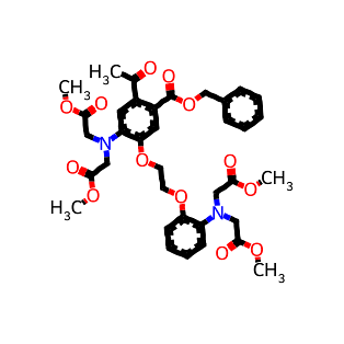 COC(=O)CN(CC(=O)OC)c1ccccc1OCCOc1cc(C(=O)OCc2ccccc2)c(C(C)=O)cc1N(CC(=O)OC)CC(=O)OC